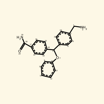 NCc1ccc(C(Oc2ccccc2)c2ccc(C(N)=O)cc2)cc1